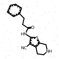 N#Cc1c(NC(=O)CCc2ccccc2)sc2c1CCNC2